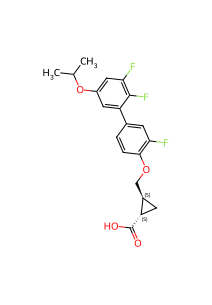 CC(C)Oc1cc(F)c(F)c(-c2ccc(OC[C@H]3C[C@@H]3C(=O)O)c(F)c2)c1